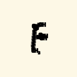 CCCCCCCCCCCCCCCCS(=O)(=O)CCCO.O=P(O)(O)O